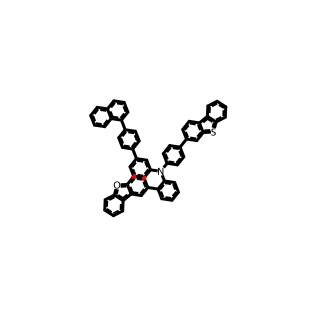 c1cc(-c2ccc(-c3cccc4ccccc34)cc2)cc(N(c2ccc(-c3ccc4c(c3)sc3ccccc34)cc2)c2ccccc2-c2ccc3oc4ccccc4c3c2)c1